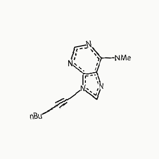 CCCCC#Cn1cnc2c(NC)ncnc21